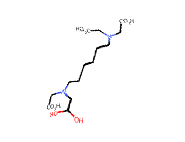 O=C(O)CN(CCCCCCN(CC(=O)O)CC(O)O)CC(=O)O